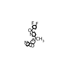 CC(c1ccc(C(=O)c2ccc(F)c(F)c2)nc1)N1CCC2(CC1)OCc1ccncc12